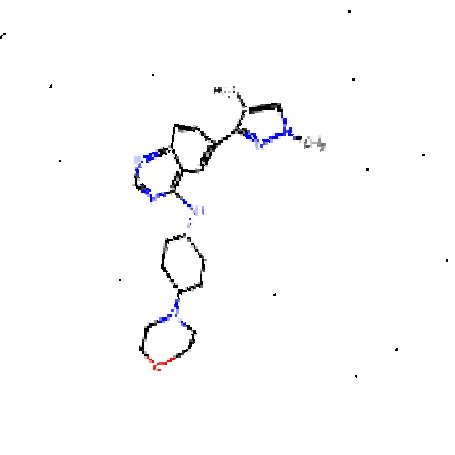 Cn1cc(C(=O)O)c(-c2ccc3ncnc(N[C@H]4CC[C@H](N5CCOCC5)CC4)c3c2)n1